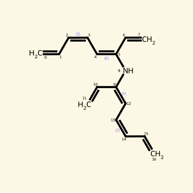 C=C/C=C\C=C(/C=C)N/C(C=C)=C/C=C\C=C